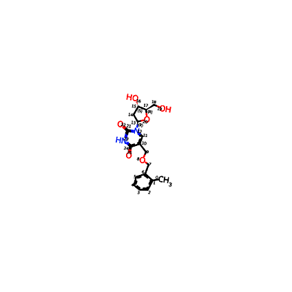 Cc1ccccc1COCc1cn([C@H]2C[C@H](O)[C@@H](CO)O2)c(=O)[nH]c1=O